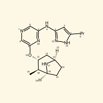 CC(C)c1cc(Nc2cncc(O[C@@H]3C[C@H]4CC[C@H](N4)[C@H]3C)n2)n[nH]1